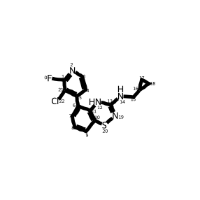 Fc1nccc(-c2cccc3c2NC(NCC2CC2)=NS3)c1Cl